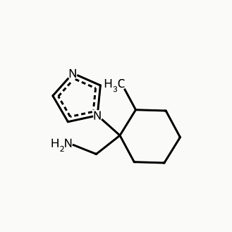 CC1CCCCC1(CN)n1ccnc1